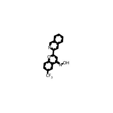 ON=c1cc(-c2cc3ccccc3cn2)oc2ccc(C(F)(F)F)cc12